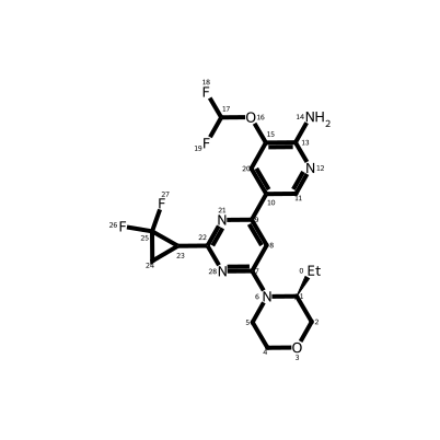 CC[C@H]1COCCN1c1cc(-c2cnc(N)c(OC(F)F)c2)nc(C2CC2(F)F)n1